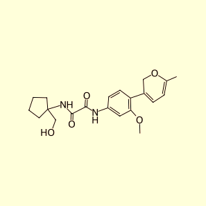 COc1cc(NC(=O)C(=O)NC2(CO)CCCC2)ccc1C1=CC=C(C)OC1